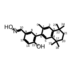 Cc1cc2c(cc1-c1cc(/C=N/O)ccc1O)C(C)(C)CCC2(C)C